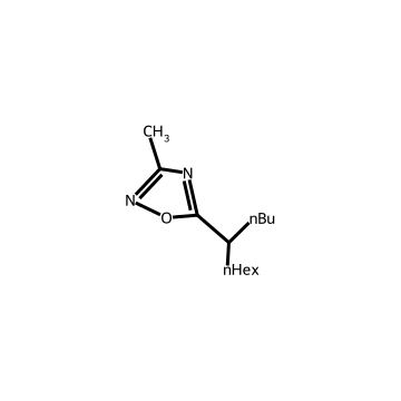 CCCCCCC(CCCC)c1nc(C)no1